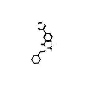 O=c1[nH]c2ccc(-c3cncnc3)cc2c(=O)n1CCC1CCCCC1